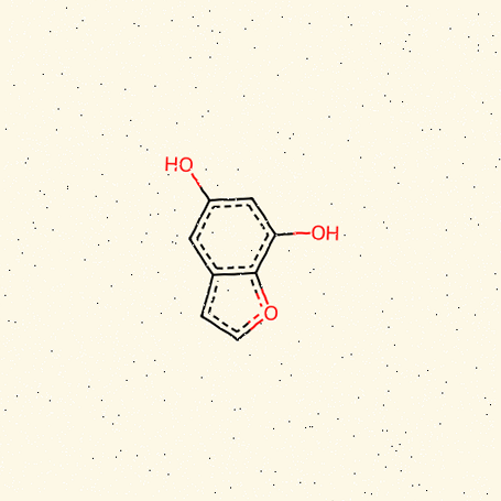 Oc1cc(O)c2occc2c1